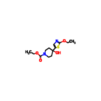 CCOC(=O)N1CCC(O)(c2cnc(OCC)s2)CC1